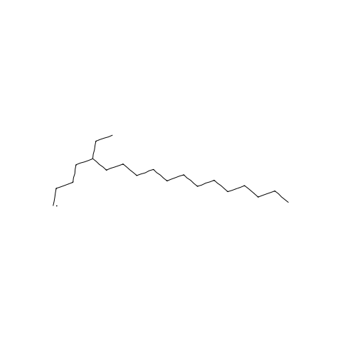 [CH2]CCCC(CC)CCCCCCCCCCCCC